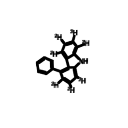 [2H]c1c([2H])c([2H])c2c([nH]c3c([2H])c([2H])c([2H])c(-c4ccccc4)c32)c1[2H]